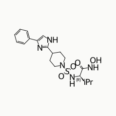 CC(C)[C@@H](NS(=O)(=O)N1CCC(c2nc(-c3ccccc3)c[nH]2)CC1)C(=O)NO